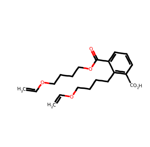 C=COCCCCOC(=O)c1cccc(C(=O)O)c1CCCCOC=C